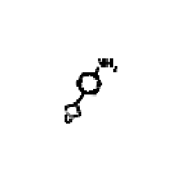 Nc1ccc(C2COC2)cc1